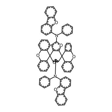 c1ccc(N(c2cc3c(o2)C2(c4ccccc4Oc4ccccc42)c2cc(N(c4ccccc4)c4cccc5c4oc4ccccc45)oc2C32c3ccccc3Oc3ccccc32)c2cccc3c2oc2ccccc23)cc1